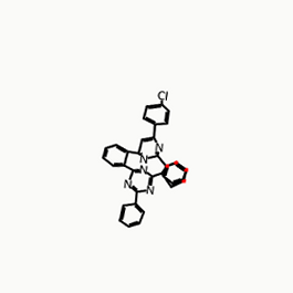 Clc1ccc(-c2cc(-c3ccccc3-c3nc(-c4ccccc4)nc(-c4ccccc4)n3)nc(-c3ccccc3)n2)cc1